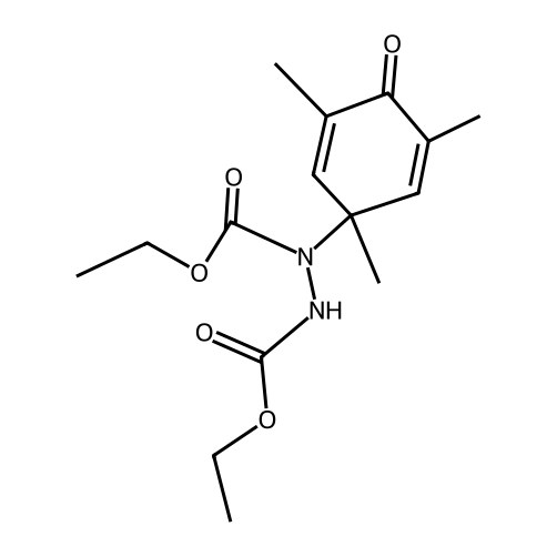 CCOC(=O)NN(C(=O)OCC)C1(C)C=C(C)C(=O)C(C)=C1